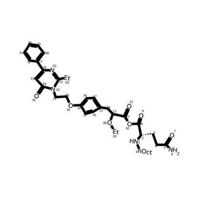 CCCCCCCCN[C@@H](CCC(N)=O)C(=O)OC(=O)C(Cc1ccc(OCCn2c(CC)nc(-c3ccccc3)cc2=O)cc1)OCC